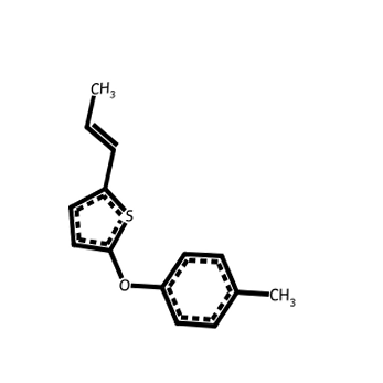 C/C=C/c1ccc(Oc2ccc(C)cc2)s1